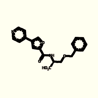 O=C(N[C@@H](COCc1ccccc1)C(=O)O)c1cc(-c2ccncc2)co1